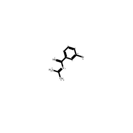 CC(C)=NC(=N)c1cccc(Br)c1